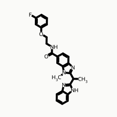 CC(c1nc2ccccc2[nH]1)c1nc2ccc(C(=O)NCCOc3cccc(F)c3)cc2n1C